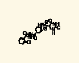 O=C(NNC(=O)c1ccccc1Cl)c1ccc(NS(=O)(=O)c2c[nH]c(=O)[nH]c2=O)cc1